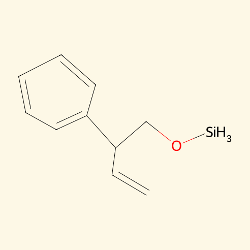 C=CC(CO[SiH3])c1ccccc1